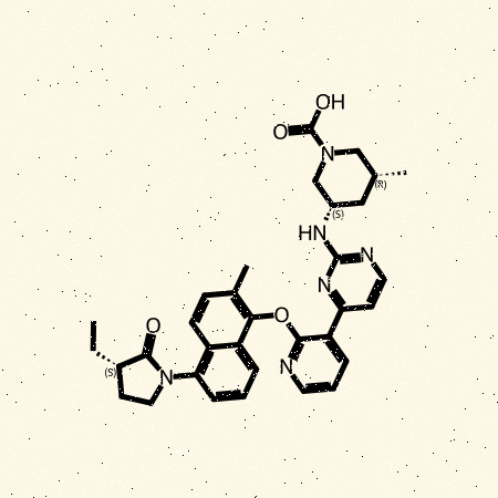 CC[C@H]1CCN(c2cccc3c(Oc4ncccc4-c4ccnc(N[C@H]5C[C@@H](C)CN(C(=O)O)C5)n4)c(C)ccc23)C1=O